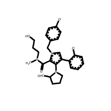 CN(CCCO)C(=O)c1c(N2CCCC2C=O)c(-c2ccccc2Cl)cn1Cc1ccc(Cl)cc1